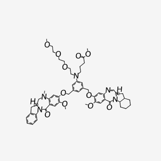 COCCOCCOCCN(CCCC(=O)OC)c1cc(COc2cc3c(cc2OC)C(=O)N2C4CCCCC4C[C@H]2C=N3)cc(COc2cc3c(cc2OC)C(=O)N2c4ccccc4C[C@H]2CN3C)c1